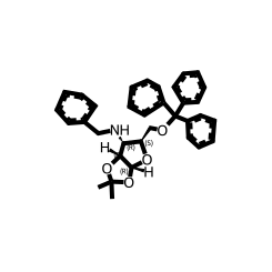 CC1(C)O[C@H]2O[C@H](COC(c3ccccc3)(c3ccccc3)c3ccccc3)[C@@H](NCc3ccccc3)[C@H]2O1